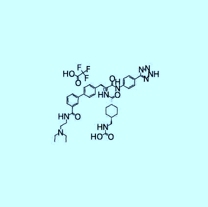 CCN(CC)CCNC(=O)c1cccc(-c2ccc(C[C@H](NC(=O)[C@H]3CC[C@H](CNC(=O)O)CC3)C(=O)Nc3ccc(-c4nn[nH]n4)cc3)cc2)c1.O=C(O)C(F)(F)F